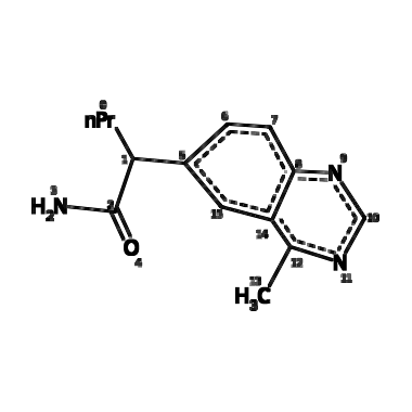 CCCC(C(N)=O)c1ccc2ncnc(C)c2c1